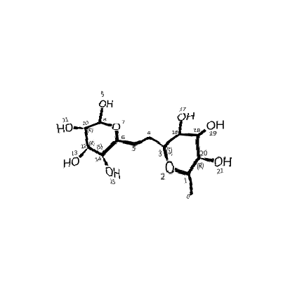 CC1O[C@@H](CCC2OC(O)[C@H](O)[C@H](O)[C@@H]2O)C(O)C(O)[C@H]1O